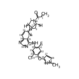 C=CC(=O)N1C[C@@H]2C[C@H]1CN2c1ccc2ncnc(Nc3cc(Cl)c(Oc4ccn(C)n4)cc3F)c2n1